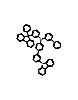 c1ccc(-c2cccc(N(c3ccc(-c4cccc(-n5c6ccccc6c6ccccc65)c4)cc3)c3cccc(C4(c5ccccc5)c5ccccc5-c5ccccc54)c3)c2)cc1